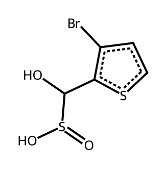 O=S(O)C(O)c1sccc1Br